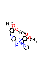 CCCOc1cc(CN2CCC(Nc3nc(N4CCCCC4)c4cc(OC)c(OC)cc4n3)CC2)ccc1OC